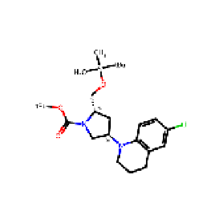 CC(C)(C)OC(=O)N1C[C@H](N2CCCc3cc(Cl)ccc32)C[C@H]1CO[Si](C)(C)C(C)(C)C